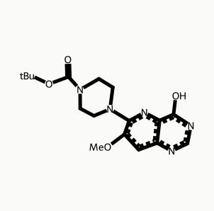 COc1cc2ncnc(O)c2nc1N1CCN(C(=O)OC(C)(C)C)CC1